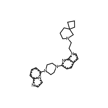 c1cc(N2CCN(c3ccc4ccn(CCN5CCCC6(CCC6)C5)c4n3)CC2)n2ccnc2c1